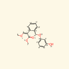 COC=C(C(=O)OC)c1ccccc1COc1cccc(O)c1